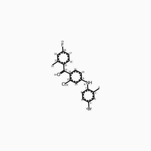 Cc1cc(Br)ccc1Nc1ccc(C(=O)c2ccc(F)cc2C)c(Cl)c1